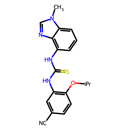 CC(C)Oc1ccc(C#N)cc1NC(=S)Nc1cccc2c1ncn2C